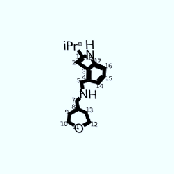 CC(C)c1cc2c(CNCC3CCOCC3)cccc2[nH]1